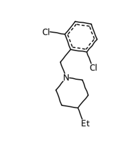 CCC1CCN(Cc2c(Cl)cccc2Cl)CC1